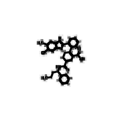 CCC[C@@H](NC(=O)C1=CC(C(=O)O)=C(c2c(Cl)cccc2-c2nc3cc(Cl)c(C)cc3[nH]2)CC1)c1ccccc1